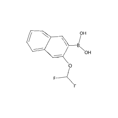 OB(O)c1cc2ccccc2cc1OC(F)F